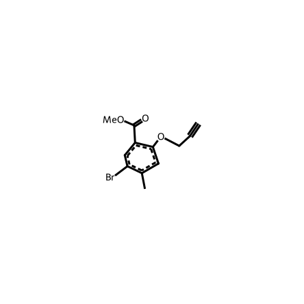 C#CCOc1cc(C)c(Br)cc1C(=O)OC